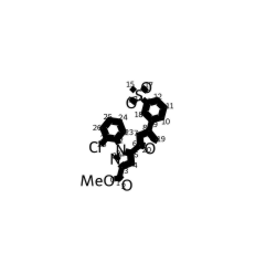 COC(=O)c1cc(-c2cc(-c3cccc(S(C)(=O)=O)c3)co2)n(-c2ccccc2Cl)n1